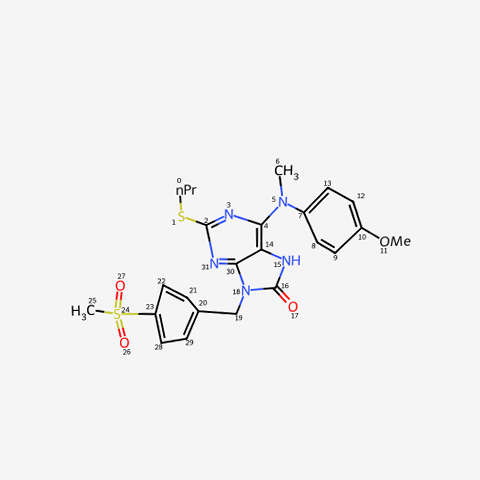 CCCSc1nc(N(C)c2ccc(OC)cc2)c2[nH]c(=O)n(Cc3ccc(S(C)(=O)=O)cc3)c2n1